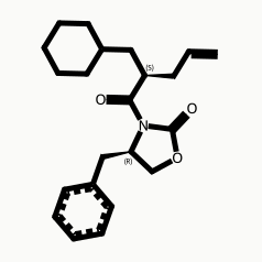 C=CC[C@H](CC1CCCCC1)C(=O)N1C(=O)OC[C@H]1Cc1ccccc1